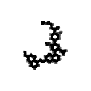 C=Cc1cnc2c(C=Cc3cnc4c(-c5cc(C#N)c(N6CCN(C(=O)CCOC)[C@H](C)C6)nc5C5CC5)cccc4n3)cccc2n1